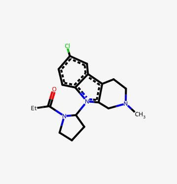 CCC(=O)N1CCCC1n1c2c(c3cc(Cl)ccc31)CCN(C)C2